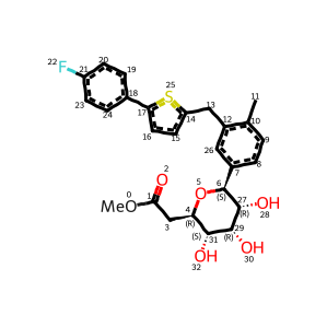 COC(=O)C[C@H]1O[C@@H](c2ccc(C)c(Cc3ccc(-c4ccc(F)cc4)s3)c2)[C@H](O)[C@H](O)[C@@H]1O